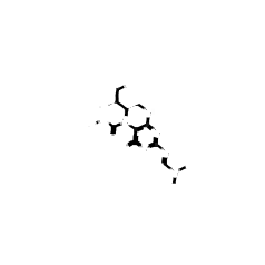 C[C@H](O)[C@H](O)[C@H]1CNc2nc(/N=C/N(C)C)[nH]c(=O)c2N1C(=O)OC(C)(C)C